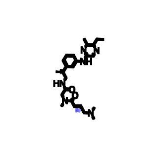 CCc1ncc(Nc2cccc([C@H](C)CNC(=O)CN(C)C(=O)/C=C/CN(C)C)c2)nc1C